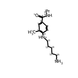 Cc1cc(C(=O)NC(C)C)ccc1NCCCCCN